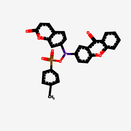 Cc1ccc(S(=O)(=O)O[I+](c2ccc3ccc(=O)oc3c2)c2ccc3oc4ccccc4c(=O)c3c2)cc1